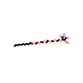 C=CCCCCCCCCCOCCOCCOCCOCCOCCOC1=C(OCC)C(=O)NC1=O